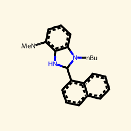 CCCCN1c2cccc(NC)c2NC1c1cccc2ccccc12